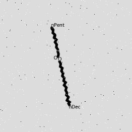 [CH2]CCCCCCCCCCCCCCCCCCCCCCCCCCCCOC(=O)CCCCCCCC=CCC=CCCCCC